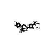 COc1cc(-c2nnc3n2CCCC3(Oc2ccc(Cl)c(F)c2)C(C)(C)O)ccc1-c1cnc(C)o1